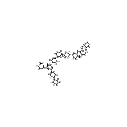 C1=CC2c3ccccc3OC2c2nc3cc(-c4ccc(-c5cccc(-c6ccc(-c7nc(-c8ccccc8)nc(-c8ccc(-c9ccccc9)cc8)n7)cc6)c5)cc4)ccc3nc21